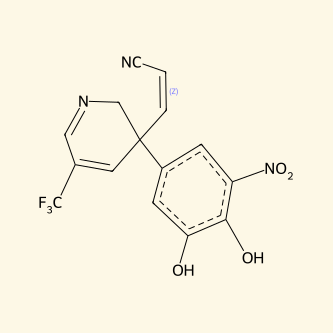 N#C/C=C\C1(c2cc(O)c(O)c([N+](=O)[O-])c2)C=C(C(F)(F)F)C=NC1